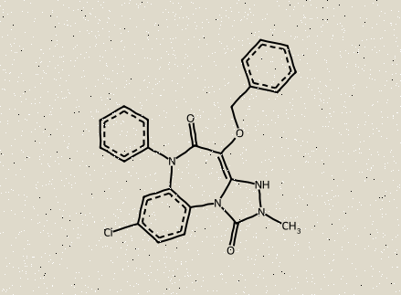 CN1NC2=C(OCc3ccccc3)C(=O)N(c3ccccc3)c3cc(Cl)ccc3N2C1=O